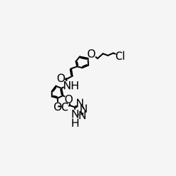 O=C(C=Cc1ccc(OCCCCCl)cc1)Nc1cccc2c1OC(c1nnn[nH]1)CO2